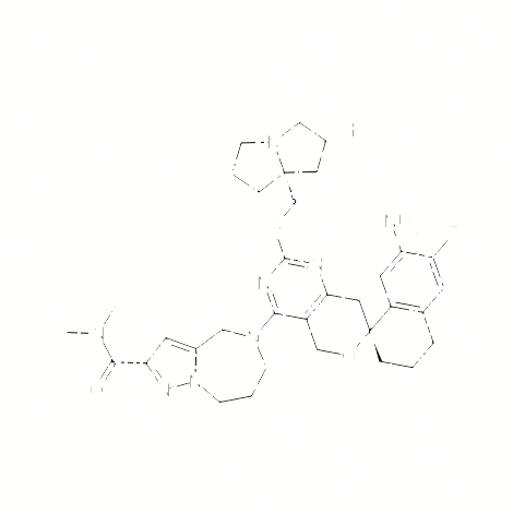 CN(C)C(=O)c1cc2n(n1)CCCN(c1nc(OC[C@@]34CCCN3C[C@H](F)C4)nc3c1CO[C@]1(CCCc4cc(F)c(N)cc41)C3)C2